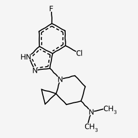 CN(C)C1CCN(c2n[nH]c3cc(F)cc(Cl)c23)C2(CC2)C1